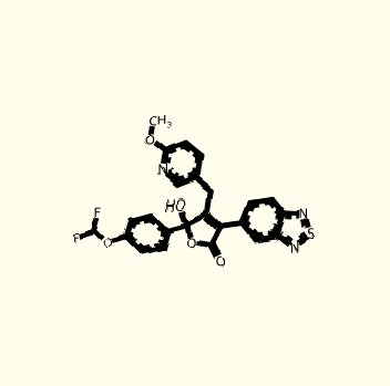 COc1ccc(CC2=C(c3ccc4nsnc4c3)C(=O)OC2(O)c2ccc(OC(F)F)cc2)cn1